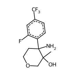 CC1(O)COCCC1(N)c1ccc(C(F)(F)F)cc1F